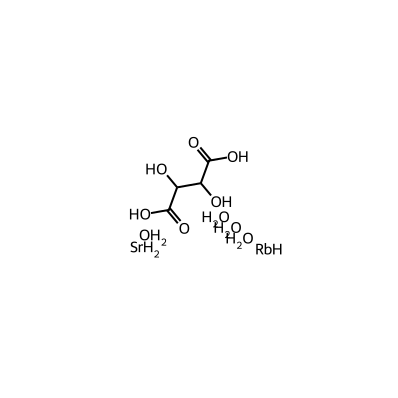 O.O.O.O.O=C(O)C(O)C(O)C(=O)O.[RbH].[SrH2]